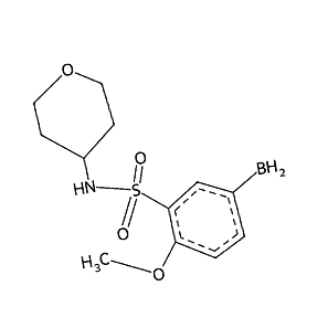 Bc1ccc(OC)c(S(=O)(=O)NC2CCOCC2)c1